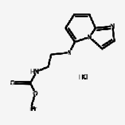 CC(C)OC(=O)NCCSc1cccc2nccn12.Cl